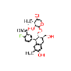 COc1cc(C2c3cc(C)c(O)cc3C[C@H](CO)[C@H]2CO[C@@H]2OC[C@@H](O)[C@H](C)[C@H]2O)ccc1F